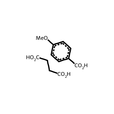 COc1ccc(C(=O)O)cc1.O=C(O)CCC(=O)O